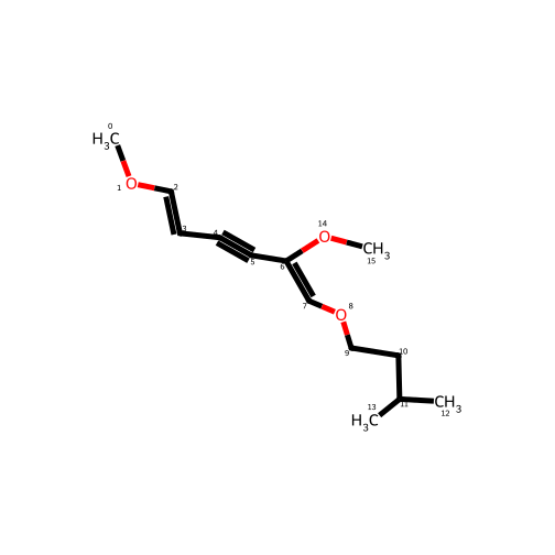 CO/C=C/C#C/C(=C/OCCC(C)C)OC